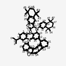 CC(C)c1ccc2c(c1)-n1c3cc(cc4c3B2c2sc3cc5c(cc3c2N4c2ccc3c(c2)C(C)(C)CCC3(C)C)C(C)(C)CCC5(C)C)c2cccc3cc4oc5cccc1c5c4cc32